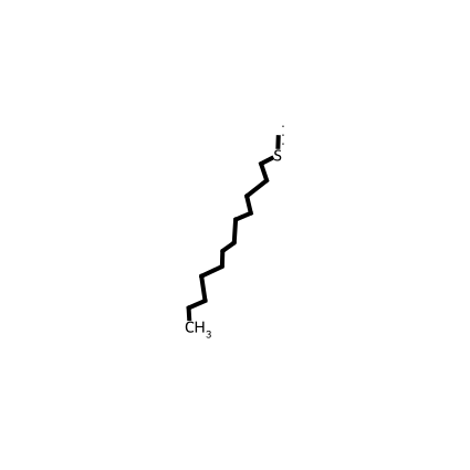 [C]SCCCCCCCCCCCC